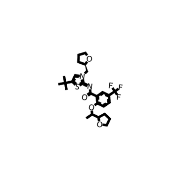 CC(Oc1ccc(C(F)(F)F)cc1C(=O)/N=c1\sc(C(C)(C)C)cn1C[C@H]1CCCO1)C1CCCO1